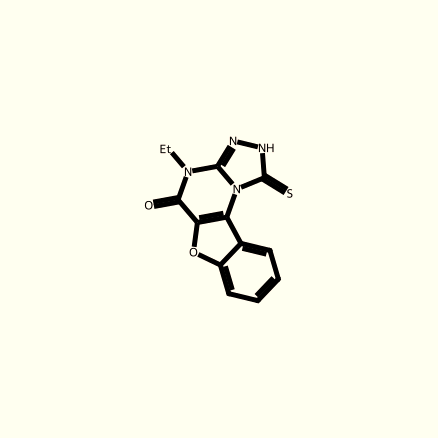 CCn1c(=O)c2oc3ccccc3c2n2c(=S)[nH]nc12